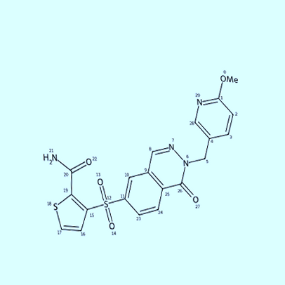 COc1ccc(Cn2ncc3cc(S(=O)(=O)c4ccsc4C(N)=O)ccc3c2=O)cn1